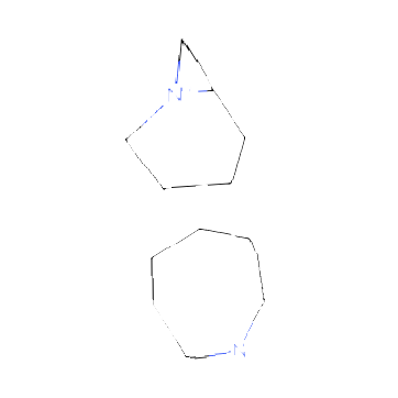 C1CCC[N]CC1.C1CC[N+]2CC2C1